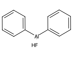 F.c1cc[c]([Al][c]2ccccc2)cc1